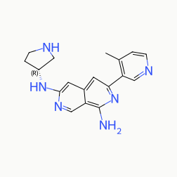 Cc1ccncc1-c1cc2cc(N[C@@H]3CCNC3)ncc2c(N)n1